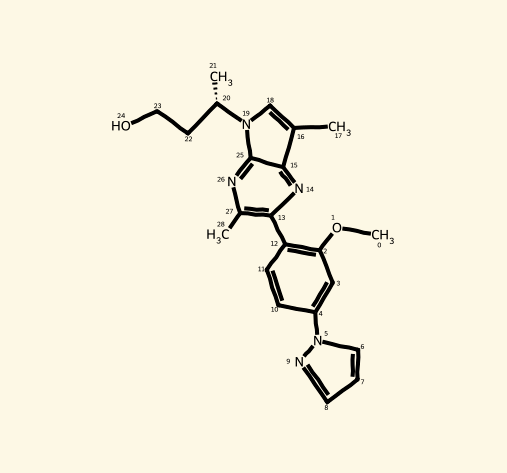 COc1cc(-n2cccn2)ccc1-c1nc2c(C)cn([C@@H](C)CCO)c2nc1C